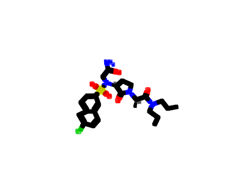 CCCN(CCC)C(=O)[C@H](C)N1CC[C@H](N(CC(N)=O)S(=O)(=O)c2ccc3cc(Cl)ccc3c2)C1=O